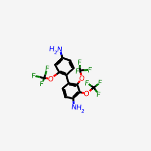 Nc1ccc(-c2ccc(N)c(OC(F)(F)F)c2OC(F)(F)F)c(OC(F)(F)F)c1